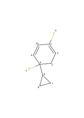 FC1=C[CH]C(F)(C2CC2)C=C1